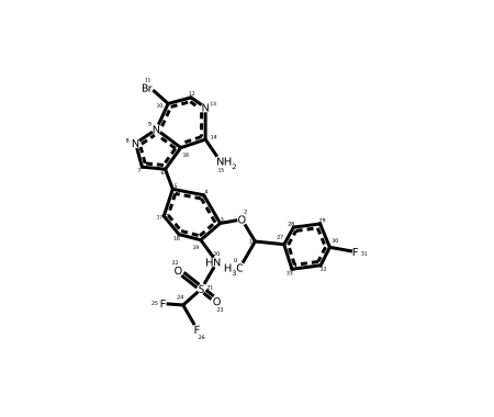 CC(Oc1cc(-c2cnn3c(Br)cnc(N)c23)ccc1NS(=O)(=O)C(F)F)c1ccc(F)cc1